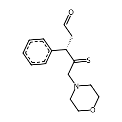 O=CC[C@H](C(=S)CN1CCOCC1)c1ccccc1